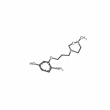 CN1CCN(CCCOc2cc(O)ccc2N)CC1